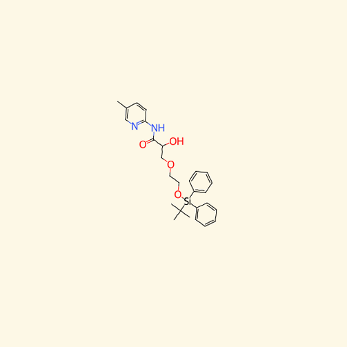 Cc1ccc(NC(=O)C(O)COCCO[Si](c2ccccc2)(c2ccccc2)C(C)(C)C)nc1